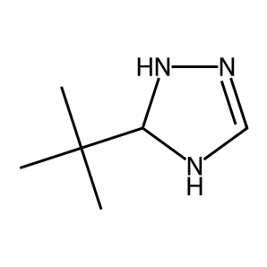 CC(C)(C)C1NC=NN1